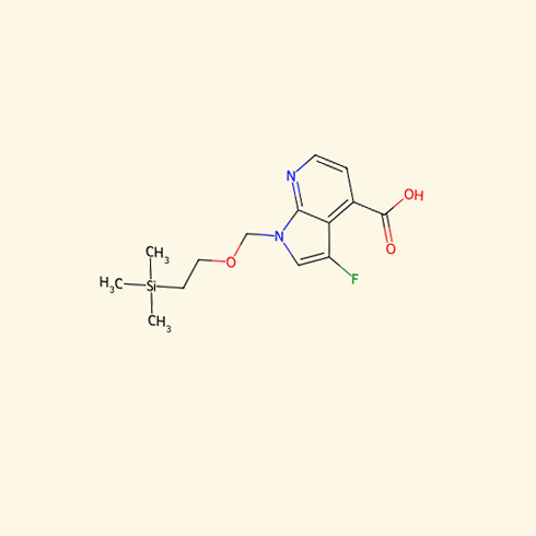 C[Si](C)(C)CCOCn1cc(F)c2c(C(=O)O)ccnc21